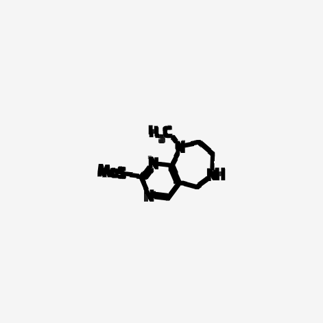 CSc1ncc2c(n1)N(C)CCNC2